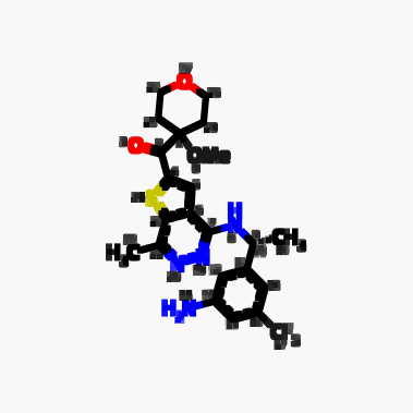 COC1(C(=O)c2cc3c(N[C@H](C)c4cc(N)cc(C(F)(F)F)c4)nnc(C)c3s2)CCOCC1